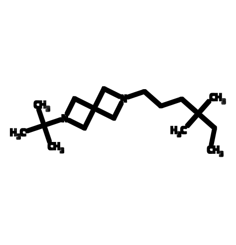 CCC(C)(C)CCCN1CC2(C1)CN(C(C)(C)C)C2